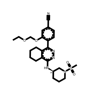 CCOCOc1cc(C#N)ccc1-c1nnc(N[C@@H]2CCCN(S(C)(=O)=O)C2)c2c1CCCC2